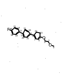 COCCOC1=CC=C(c2ccc(-c3ccc(F)cc3)cc2)CC1